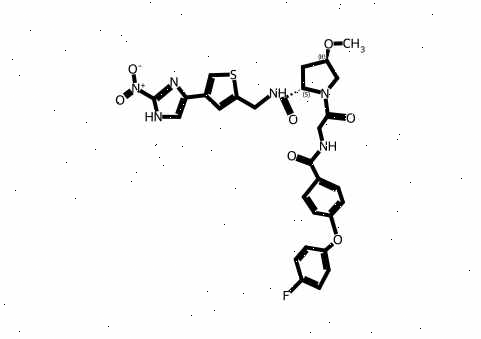 CO[C@@H]1C[C@@H](C(=O)NCc2cc(-c3c[nH]c([N+](=O)[O-])n3)cs2)N(C(=O)CNC(=O)c2ccc(Oc3ccc(F)cc3)cc2)C1